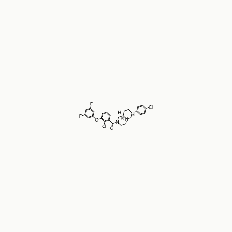 O=C(c1cccc(Oc2cc(F)cc(F)c2)c1Cl)N1CCN2C[C@@H](c3ccc(Cl)cc3)CC[C@@H]2C1